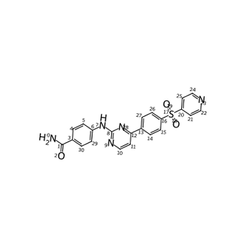 NC(=O)c1ccc(Nc2nccc(-c3ccc(S(=O)(=O)c4ccncc4)cc3)n2)cc1